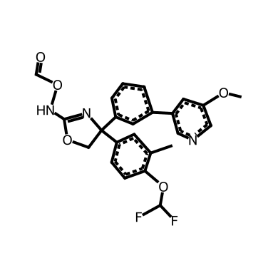 COc1cncc(-c2cccc(C3(c4ccc(OC(F)F)c(C)c4)COC(NOC=O)=N3)c2)c1